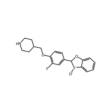 [O-][S+]1c2ccccc2OC1c1ccc(OCC2CCNCC2)c(F)c1